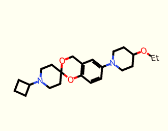 CCOC1CCN(c2ccc3c(c2)COC2(CCN(C4CCC4)CC2)O3)CC1